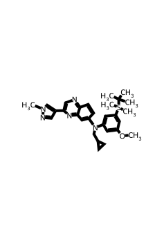 COc1cc(N(CC2CC2)c2ccc3ncc(-c4cnn(C)c4)nc3c2)cc(S(C)(C)C(C)(C)C)c1